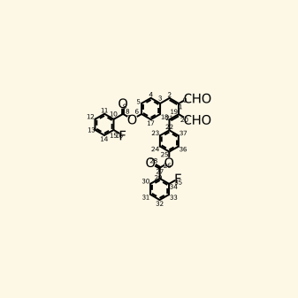 O=CC(=Cc1ccc(OC(=O)c2ccccc2F)cc1)C(C=O)=Cc1ccc(OC(=O)c2ccccc2F)cc1